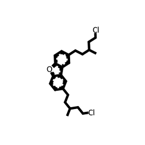 CC(CCCl)CCc1ccc2oc3ccc(CCC(C)CCCl)cc3c2c1